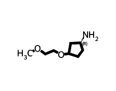 COCCOC1CC[C@@H](N)C1